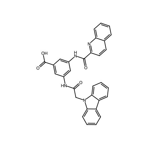 O=C(Cn1c2ccccc2c2ccccc21)Nc1cc(NC(=O)c2ccc3ccccc3n2)cc(C(=O)O)c1